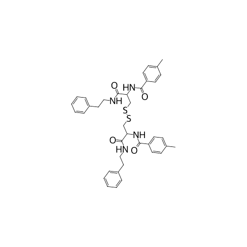 Cc1ccc(C(=O)NC(CSSCC(NC(=O)c2ccc(C)cc2)C(=O)NCCc2ccccc2)C(=O)NCCc2ccccc2)cc1